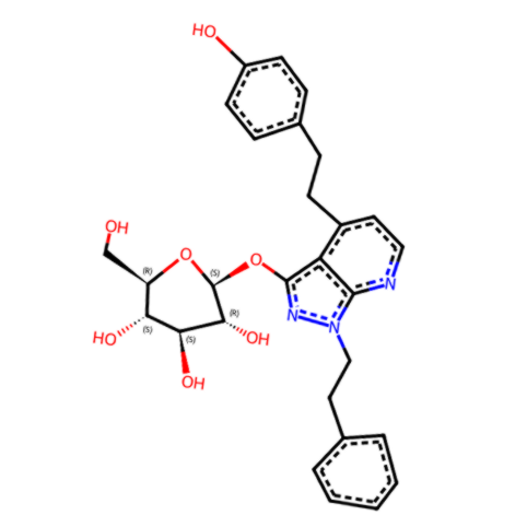 OC[C@H]1O[C@@H](Oc2nn(CCc3ccccc3)c3nccc(CCc4ccc(O)cc4)c23)[C@H](O)[C@@H](O)[C@@H]1O